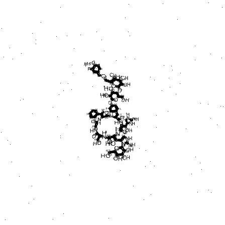 COc1ccc(COCC2OC(OC3C(CO)OC(Oc4ccc(CC5NC(=O)C(C(C)c6ccccc6)NC(=O)CNC(=O)C(CO)NC(=O)C(C(O)C6CNC(=N)N6C6OC(CO)C(O)C(O)C6O)NC(=O)C(C(O)C6CNC(=N)N6)NC5=O)cc4)C(O)C3O)C(O)C(O)C2O)cc1F